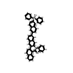 S=P(c1ccccc1)(c1ccccc1)c1ccc2cc(-c3ccc4cc5c6ccc7ccccc7c6c6nc7ccccc7n6c5cc4c3)ccc2c1